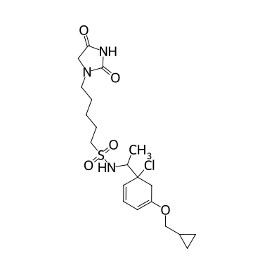 CC(NS(=O)(=O)CCCCCN1CC(=O)NC1=O)C1(Cl)C=CC=C(OCC2CC2)C1